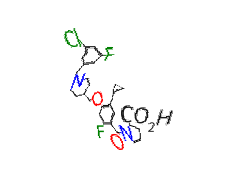 O=C(O)C1CCCN1C(=O)c1cc(C2CC2)c(OCC2CCN(Cc3cc(F)cc(Cl)c3)CC2)cc1F